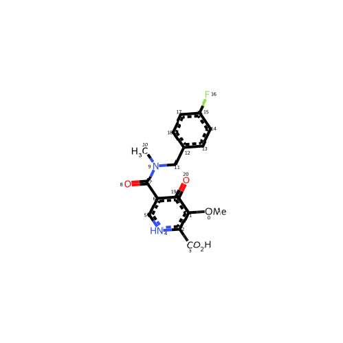 COc1c(C(=O)O)[nH]cc(C(=O)N(C)Cc2ccc(F)cc2)c1=O